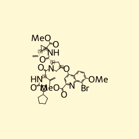 C=C[C@@H]1C[C@]1(NC(=O)[C@@H]1C[C@@H](Oc2cc(C(=O)OC)nc3c(Br)c(OC)ccc23)CN1C(=O)[C@@H](NC(=O)OC1CCCC1)C(=C)C)C(=O)OC